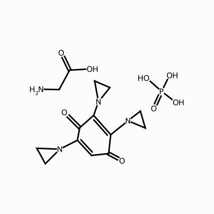 NCC(=O)O.O=C1C=C(N2CC2)C(=O)C(N2CC2)=C1N1CC1.O=P(O)(O)O